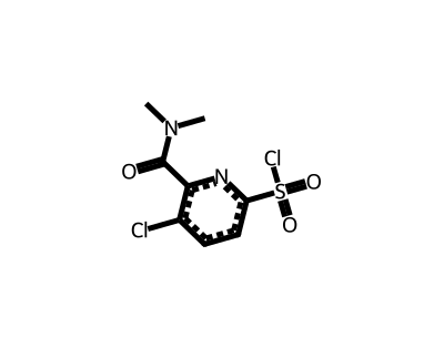 CN(C)C(=O)c1nc(S(=O)(=O)Cl)ccc1Cl